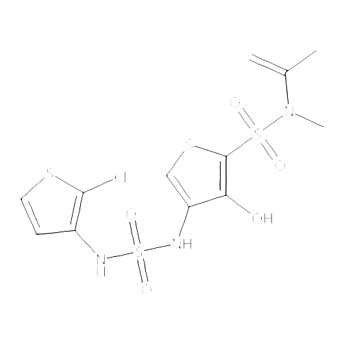 C=C(C)N(C)S(=O)(=O)c1scc(NS(=O)(=O)Nc2ccsc2Cl)c1O